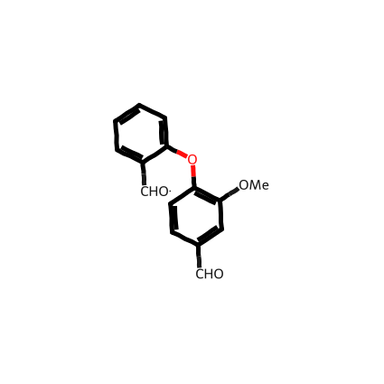 COc1cc(C=O)ccc1Oc1ccccc1[C]=O